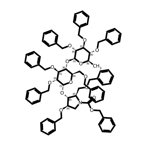 C[C@H]1O[C@@H](O[C@H]2[C@H](OCc3ccccc3)[C@@H](OCc3ccccc3)[C@@H](O[C@@H]3[C@@H](COCc4ccccc4)N(C(=O)OCc4ccccc4)C[C@H]3OCc3ccccc3)O[C@@H]2COCc2ccccc2)[C@H](OCc2ccccc2)[C@@H](OCc2ccccc2)[C@@H]1OCc1ccccc1